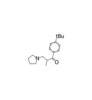 CC(CN1CCCC1)C(=O)c1ccc(C(C)(C)C)cc1